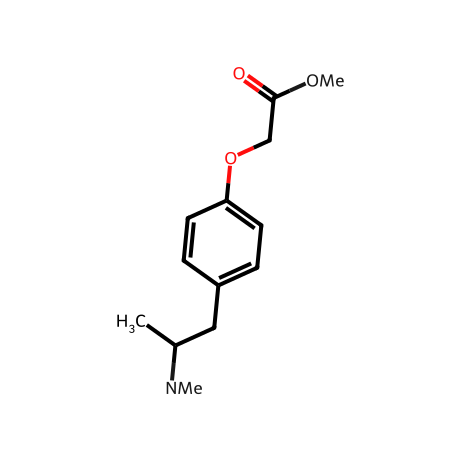 CNC(C)Cc1ccc(OCC(=O)OC)cc1